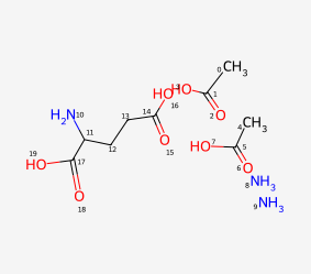 CC(=O)O.CC(=O)O.N.N.NC(CCC(=O)O)C(=O)O